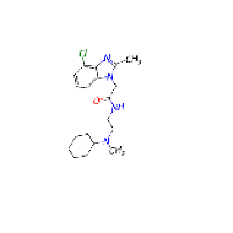 Cc1nc2c(Cl)cccc2n1CC(=O)NCCN(C)C1CCCCC1